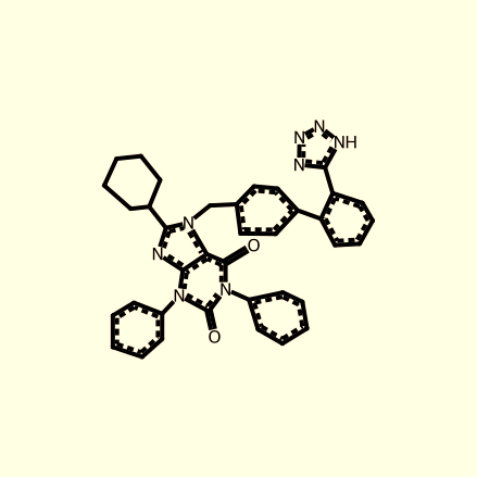 O=c1c2c(nc(C3CCCCC3)n2Cc2ccc(-c3ccccc3-c3nnn[nH]3)cc2)n(-c2ccccc2)c(=O)n1-c1ccccc1